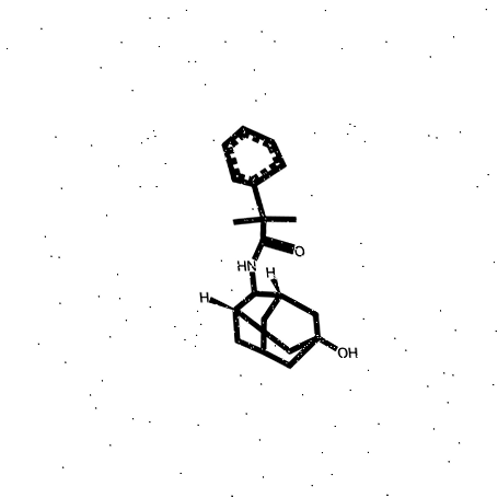 CC(C)(C(=O)NC1[C@H]2CC3C[C@H]1CC(O)(C3)C2)c1ccccc1